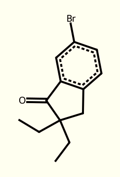 CCC1(CC)Cc2ccc(Br)cc2C1=O